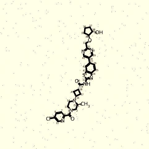 C[C@H]1CN(C(=O)c2ccc(Cl)cn2)CCN1[C@H]1C[C@@H](C(=O)Nc2nc3ccc(-c4cnc(CO[C@H]5CCC[C@@H]5O)nc4)cc3s2)C1